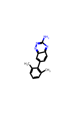 Cc1cccc(C)c1-c1ccc2nc(N)nnc2c1